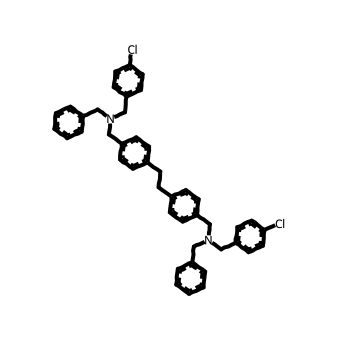 Clc1ccc(CN(Cc2ccccc2)Cc2ccc(CCc3ccc(CN(Cc4ccccc4)Cc4ccc(Cl)cc4)cc3)cc2)cc1